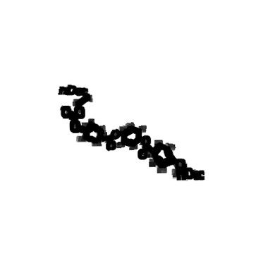 CCCCCCCCCCCCOC(=O)OC1CCN(C(=O)Oc2ccc(OC(=O)c3ccc(OCCCCCCCCCC)cc3)cc2)CC1